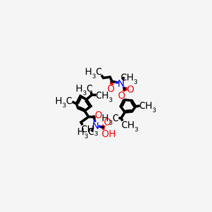 CCC(C(=O)N(C)C(=O)O)c1cc(C)cc(C(C)C)c1.CCCC(=O)N(C)C(=O)Oc1cc(C)cc(C(C)C)c1